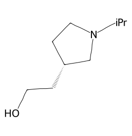 CC(C)N1CC[C@@H](CCO)C1